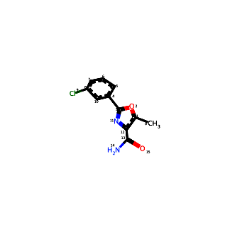 Cc1oc(-c2cccc(Cl)c2)nc1C(N)=O